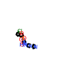 O=C1CN(S(=O)(=O)C2=Cc3cccc(Cl)c3OCC2)CCN1NC1CCN(c2ccncc2)CC1